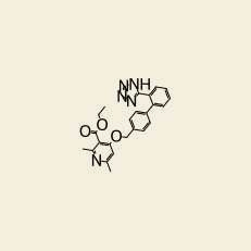 CCOC(=O)c1c(OCc2ccc(-c3ccccc3-c3nnn[nH]3)cc2)cc(C)nc1C